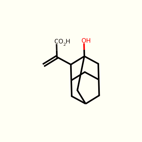 C=C(C(=O)O)C1C2CC3CC(C2)CC1(O)C3